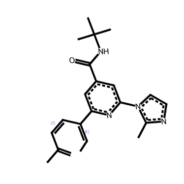 C=C(C)/C=C\C(=C/C)c1cc(C(=O)NC(C)(C)C)cc(-n2ccnc2C)n1